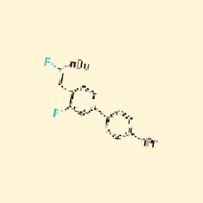 CCCC/C(F)=C\c1ccc(-c2ccc(CCC)cc2)cc1F